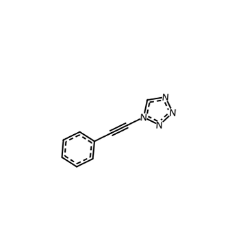 C(#Cn1cnnn1)c1ccccc1